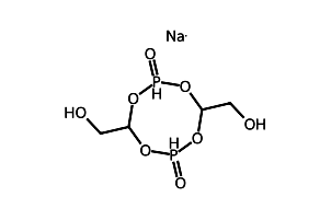 O=[PH]1OC(CO)O[PH](=O)OC(CO)O1.[Na]